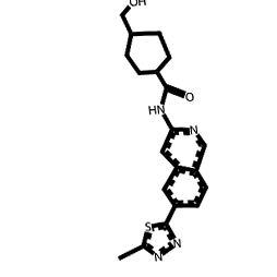 Cc1nnc(-c2ccc3cnc(NC(=O)C4CCC(CO)CC4)cc3c2)s1